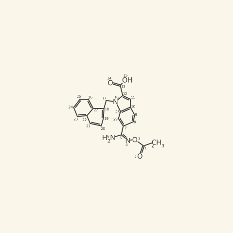 CC(=O)O/N=C(/N)c1ccc2cc(C(=O)O)n(Cc3cccc4ccccc34)c2c1